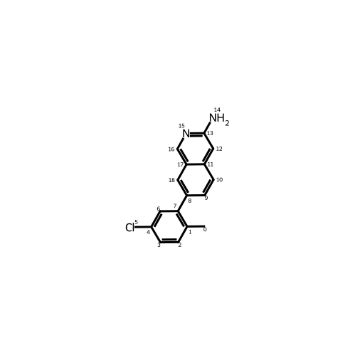 Cc1ccc(Cl)cc1-c1ccc2cc(N)ncc2c1